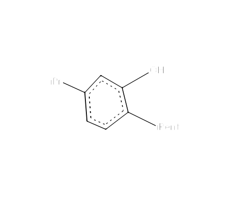 CCCC(C)c1ccc(C(C)C)cc1O